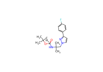 CC(C)(Cn1ccc(-c2ccc(F)cc2)n1)NC(=O)OC(C)(C)C